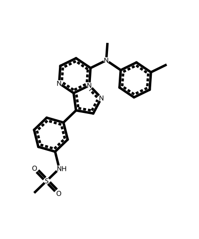 Cc1cccc(N(C)c2ccnc3c(-c4cccc(NS(C)(=O)=O)c4)cnn23)c1